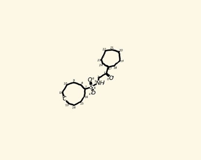 O=C(CNS(=O)(=O)C1CCCCCCCCC1)C1CCCCCCC1